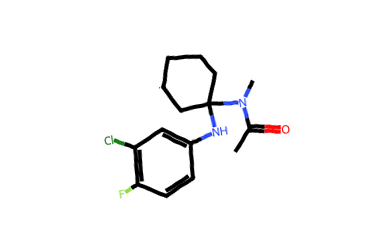 CC(=O)N(C)C1(Nc2ccc(F)c(Cl)c2)C[CH]CCC1